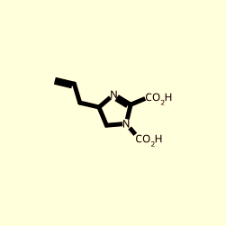 C=CCC1CN(C(=O)O)C(C(=O)O)=N1